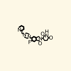 O=C1CCC(N2Cc3cc(N4CCN(Cc5ccccn5)CC4)c(F)cc3C2=O)C(=O)N1